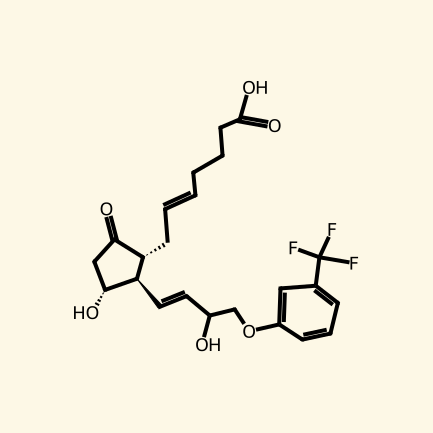 O=C(O)CCCC=CC[C@H]1C(=O)C[C@@H](O)[C@@H]1C=CC(O)COc1cccc(C(F)(F)F)c1